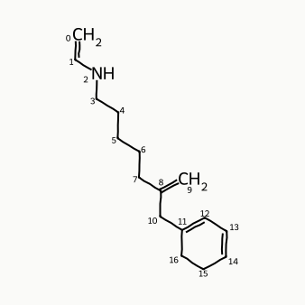 C=CNCCCCCC(=C)CC1=CC=CCC1